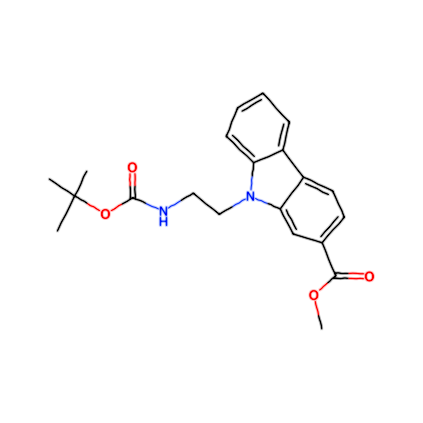 COC(=O)c1ccc2c3ccccc3n(CCNC(=O)OC(C)(C)C)c2c1